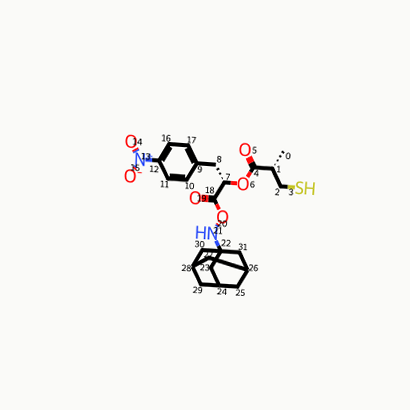 C[C@H](CS)C(=O)O[C@@H](Cc1ccc([N+](=O)[O-])cc1)C(=O)ONC12CC3CC(CC(C3)C1)C2